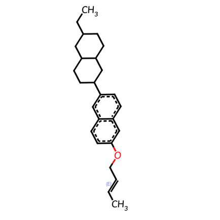 C/C=C/COc1ccc2cc(C3CCC4CC(CC)CCC4C3)ccc2c1